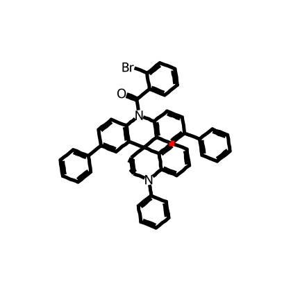 O=C(c1ccccc1Br)N1c2ccc(-c3ccccc3)cc2C2(c3cc(-c4ccccc4)ccc31)c1ccccc1N(c1ccccc1)c1ccccc12